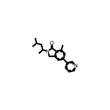 Cc1cc(-c2cccnc2)cc2c1C(=O)N(C(C)CC(C)C)C2